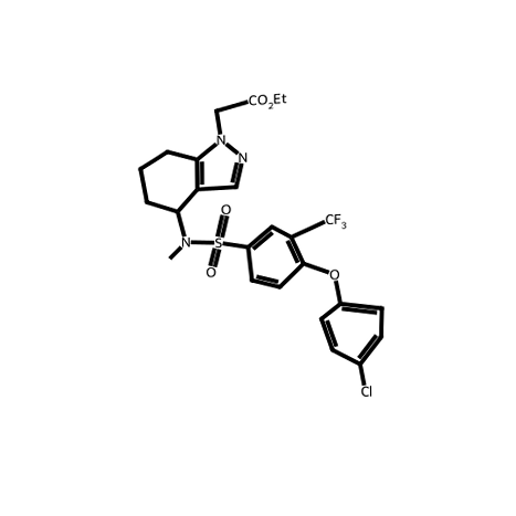 CCOC(=O)Cn1ncc2c1CCCC2N(C)S(=O)(=O)c1ccc(Oc2ccc(Cl)cc2)c(C(F)(F)F)c1